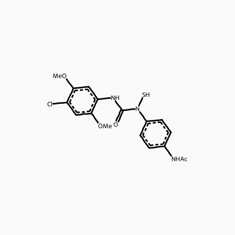 COc1cc(NC(=O)N(S)c2ccc(NC(C)=O)cc2)c(OC)cc1Cl